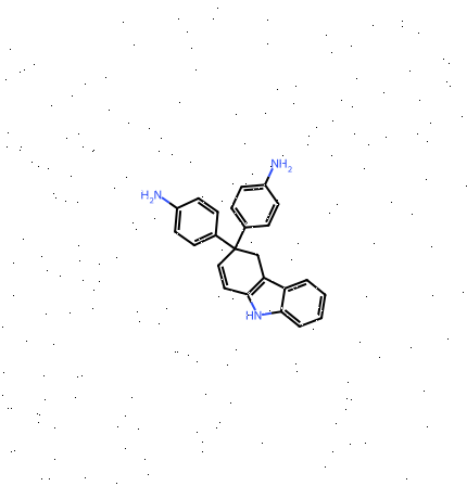 Nc1ccc(C2(c3ccc(N)cc3)C=Cc3[nH]c4ccccc4c3C2)cc1